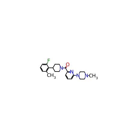 Cc1cccc(F)c1C1CCN(C(=O)c2cccc(N3CCN(C)CC3)n2)CC1